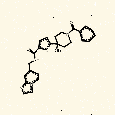 O=C(NCc1ccn2ccnc2c1)c1ccc(C2(O)CCN(C(=O)c3ccccc3)CC2)s1